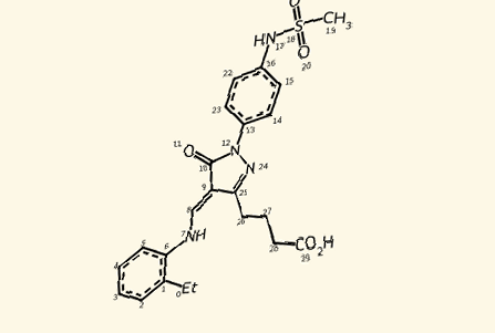 CCc1ccccc1NC=C1C(=O)N(c2ccc(NS(C)(=O)=O)cc2)N=C1CCCC(=O)O